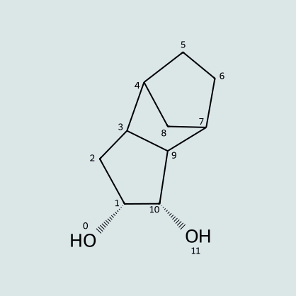 O[C@@H]1CC2C3CCC(C3)C2[C@@H]1O